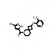 CC(C)c1cc(C(=O)N2CCCC3(CC(Oc4cnccc4C(F)(F)F)C3)C2)[nH]n1